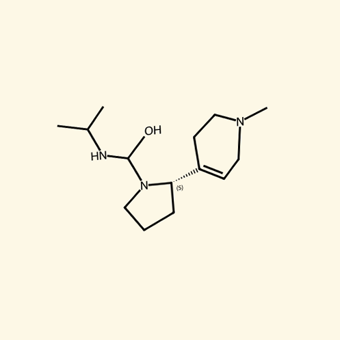 CC(C)NC(O)N1CCC[C@H]1C1=CCN(C)CC1